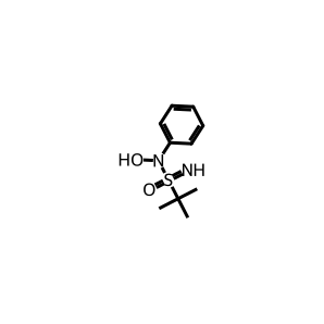 CC(C)(C)S(=N)(=O)N(O)c1ccccc1